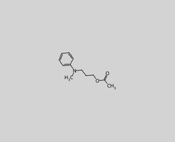 CC(=O)OCCCN(C)c1ccccc1